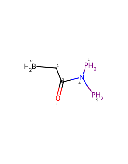 BCC(=O)N(P)P